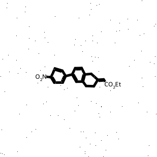 CCOC(=O)C=C1CCc2cc(-c3ccc([N+](=O)[O-])cc3)ccc2C1